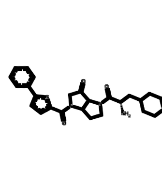 N[C@@H](CC1CCCCC1)C(=O)N1CCC2C1C(=O)CN2C(=O)c1ccc(-c2ccccc2)s1